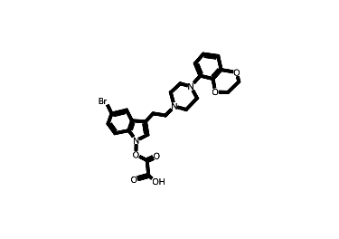 O=C(O)C(=O)On1cc(CCN2CCN(c3cccc4c3OCCO4)CC2)c2cc(Br)ccc21